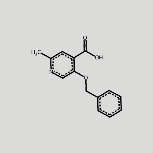 Cc1cc(C(=O)O)c(OCc2ccccc2)cn1